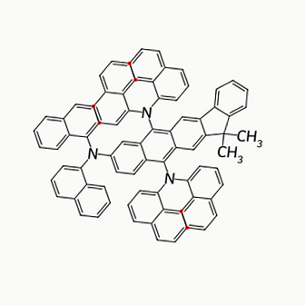 CC1(C)c2ccccc2-c2cc3c(N(c4cccc5ccccc45)c4cccc5ccccc45)c4cc(N(c5cccc6ccccc56)c5cccc6ccccc56)ccc4c(N(c4cccc5ccccc45)c4cccc5ccccc45)c3cc21